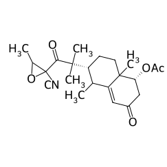 CC(=O)O[C@@H]1CC(=O)C=C2C(C)[C@H](C(C)(C)C(=O)C3(C#N)OC3C)CCC21C